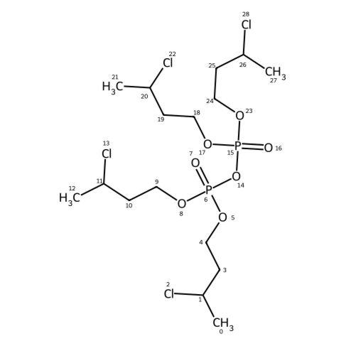 CC(Cl)CCOP(=O)(OCCC(C)Cl)OP(=O)(OCCC(C)Cl)OCCC(C)Cl